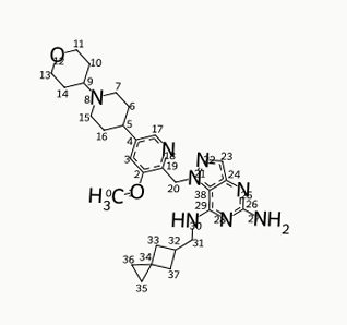 COc1cc(C2CCN(C3CCOCC3)CC2)cnc1Cn1ncc2nc(N)nc(NCC3CC4(CC4)C3)c21